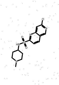 CN1CCC(NS(=O)(=O)c2ccc3cnc(Cl)cc3n2)CC1